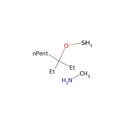 CCCCCC(CC)(CC)O[SiH3].CN